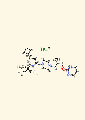 CC(COc1ncccn1)CN1CCN(c2cc(C3CCC3)nc(C(C)(C)C)n2)CC1.Cl